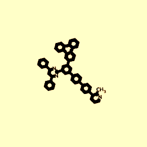 Cc1ncccc1-c1ccc(-c2ccc(-c3cc(-c4ccc5c6ccccc6c6ccccc6c5c4)cc(-c4nc(-c5ccccc5)cc(-c5ccccc5)n4)c3)cc2)cc1